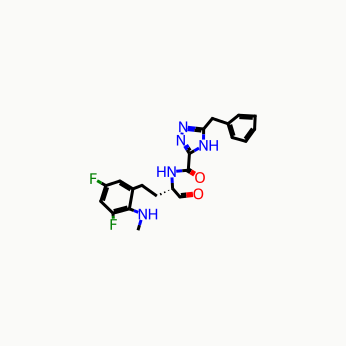 CNc1c(F)cc(F)cc1CC[C@@H](C=O)NC(=O)c1nnc(Cc2ccccc2)[nH]1